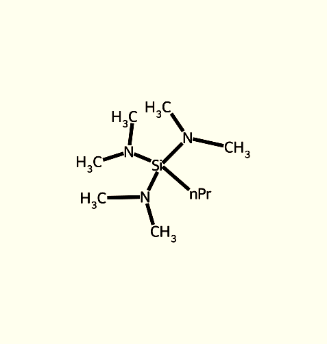 CCC[Si](N(C)C)(N(C)C)N(C)C